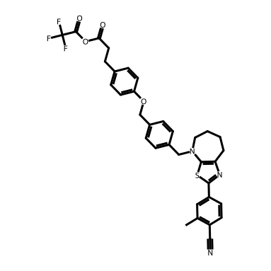 Cc1cc(-c2nc3c(s2)N(Cc2ccc(COc4ccc(CCC(=O)OC(=O)C(F)(F)F)cc4)cc2)CCCC3)ccc1C#N